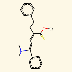 CCOC(=S)C(=CC=C(c1ccccc1)N(C)C)CCc1ccccc1